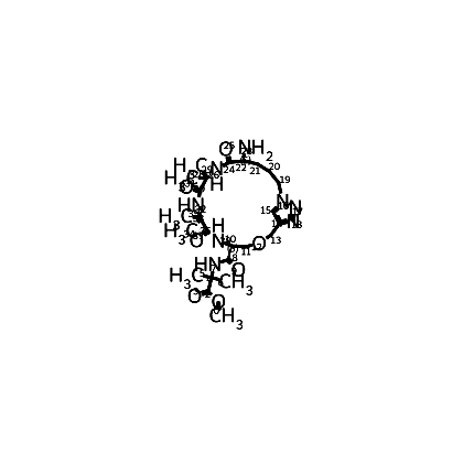 COC(=O)C(C)(C)NC(=O)[C@@H]1COCc2cn(nn2)CCC[C@H](N)C(=O)NC(C)(C)C(=O)NC(C)(C)C(=O)N1